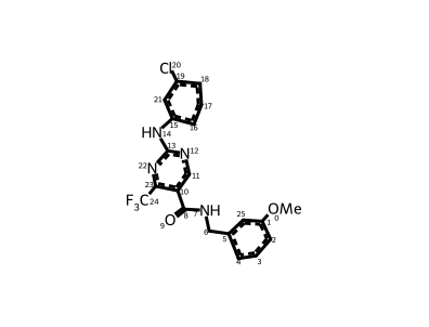 COc1cccc(CNC(=O)c2cnc(Nc3cccc(Cl)c3)nc2C(F)(F)F)c1